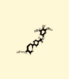 CCCCCC1CCC(C2CCC(C(F)(F)Oc3cc(C(C)(C)C)c(O)c(C(C)(C)C)c3)CC2)SC1